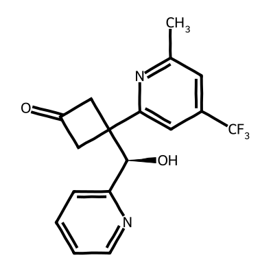 Cc1cc(C(F)(F)F)cc(C2([C@@H](O)c3ccccn3)CC(=O)C2)n1